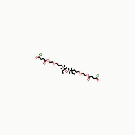 CCC(C)(O[Si](C)(C)C(C)(CC)CCCOCCOC(=O)CCC(=O)Cl)[Si](C)(C)CCCOCCOC(=O)CCC(=O)Cl